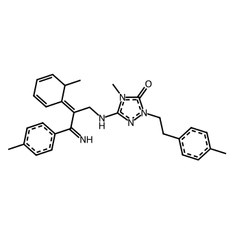 Cc1ccc(CCn2nc(NC/C(C(=N)c3ccc(C)cc3)=C3/C=CC=CC3C)n(C)c2=O)cc1